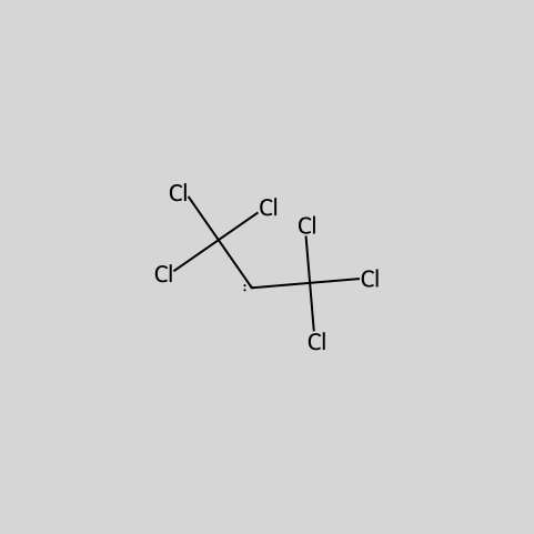 ClC(Cl)(Cl)[C]C(Cl)(Cl)Cl